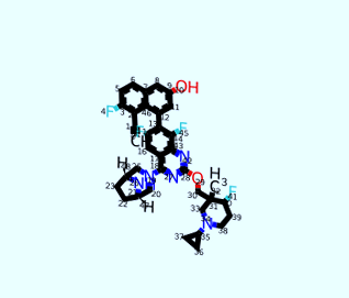 C#Cc1c(F)ccc2cc(O)cc(-c3c(F)cc4c(N5C[C@H]6CC[C@@H](C5)N6)nc(OCC5(C)CN(C6CC6)CCC5F)nc4c3F)c12